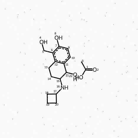 CC(=O)O.OCc1c(O)ccc2c1CCC(NC1CCC1)C2O